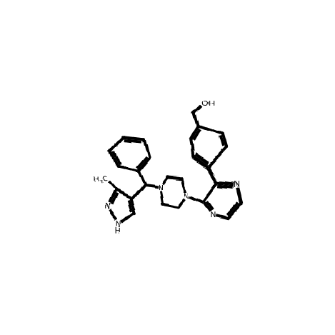 Cc1n[nH]cc1C(c1ccccc1)N1CCN(c2nccnc2-c2ccc(CO)cc2)CC1